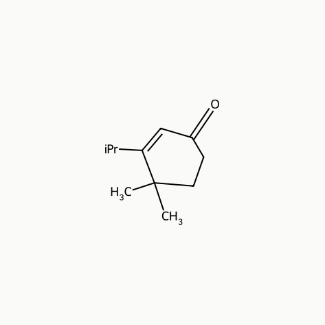 CC(C)C1=CC(=O)CCC1(C)C